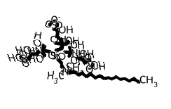 CCCCCCCCCCCCCCCCCC[N+](C)(C)CCC[Si](CCC(CO)(CO)CCC(O)CS(=O)(=O)[O-])(OCC(CO)(CO)NCC(O)CS(=O)(=O)O)OCC(CO)(CO)NCC(O)CS(=O)(=O)O